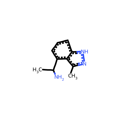 Cc1n[nH]c2cccc(C(C)N)c12